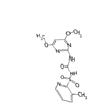 COc1cc(OC)nc(NC(=O)NS(=O)(=O)c2ncccc2C)n1